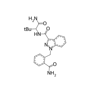 CC(C)(C)C(NC(=O)c1nn(Cc2ccccc2C(N)=O)c2ccccc12)C(N)=O